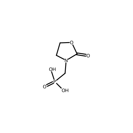 O=C1OCCN1CP(=O)(O)O